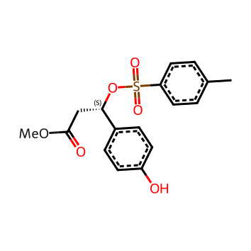 COC(=O)C[C@H](OS(=O)(=O)c1ccc(C)cc1)c1ccc(O)cc1